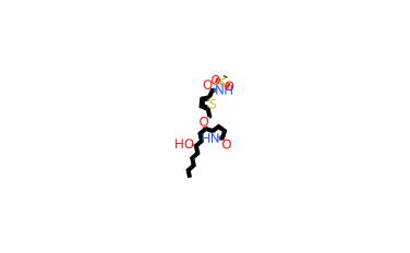 CCCCC[C@H](O)CCC(OCc1ccc(C(=O)NS(C)(=O)=O)s1)C1CCC(=O)N1